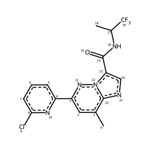 Cc1cc(-c2cccc(Cl)n2)nn2c(C(=O)NC(C)C(F)(F)F)cnc12